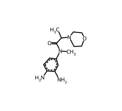 CC(C(=O)N(C)c1ccc(N)c(N)c1)N1CCOCC1